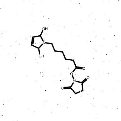 O=C(CCCCCN1C(O)C=CC1O)ON1C(=O)CCC1=O